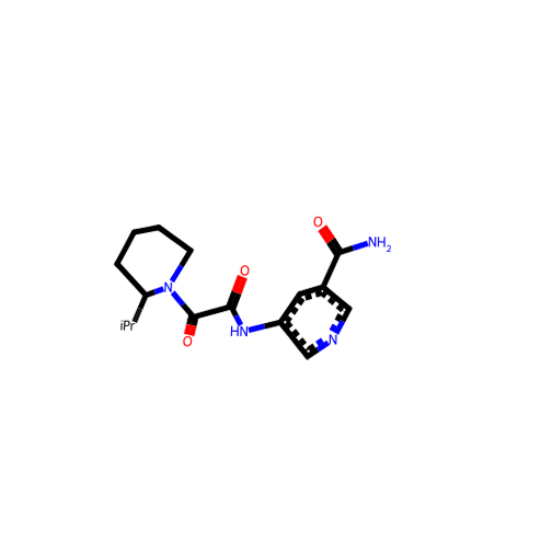 CC(C)C1CCCCN1C(=O)C(=O)Nc1cncc(C(N)=O)c1